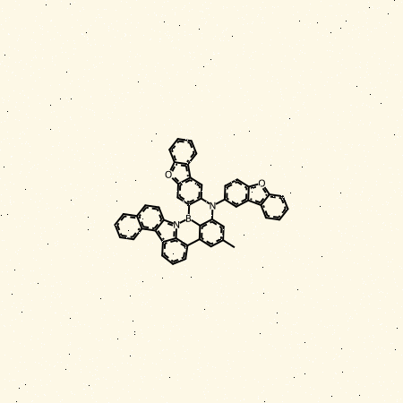 Cc1cc2c3c(c1)N(c1ccc4oc5ccccc5c4c1)c1cc4c(cc1B3n1c3ccc5ccccc5c3c3cccc-2c31)oc1ccccc14